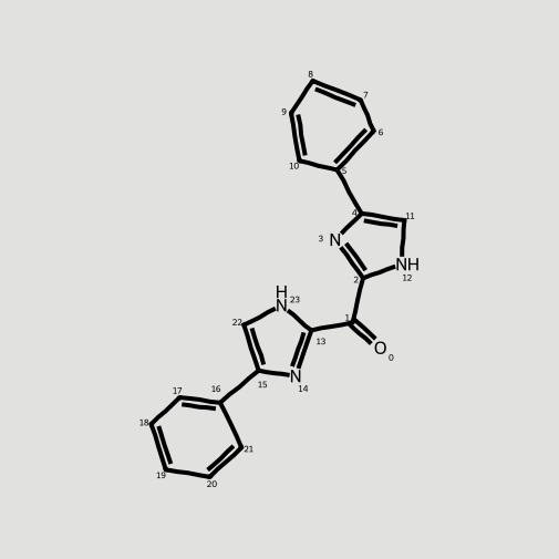 O=C(c1nc(-c2ccccc2)c[nH]1)c1nc(-c2ccccc2)c[nH]1